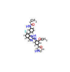 C=CC(=O)Nc1cccc(-c2c(F)ccc3cnc(Nc4ccc(C5CNCCO5)cc4OC)nc23)c1